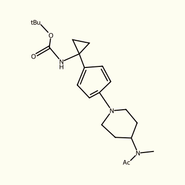 CC(=O)N(C)C1CCN(c2ccc(C3(NC(=O)OC(C)(C)C)CC3)cc2)CC1